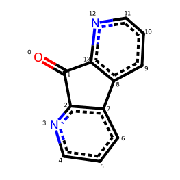 O=C1c2ncccc2-c2cccnc21